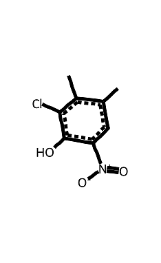 Cc1cc([N+](=O)[O-])c(O)c(Cl)c1C